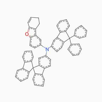 C1=Cc2oc3ccc(N(c4ccc5c(c4)-c4ccccc4C5(c4ccccc4)c4ccccc4)c4ccc5c(c4)C4(c6ccccc6-c6ccccc64)c4ccccc4-5)cc3c2CC1